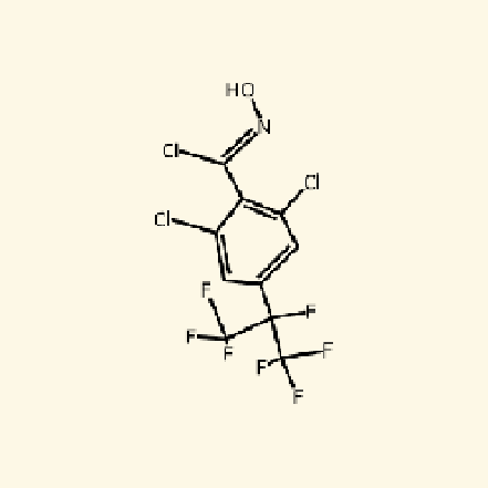 ON=C(Cl)c1c(Cl)cc(C(F)(C(F)(F)F)C(F)(F)F)cc1Cl